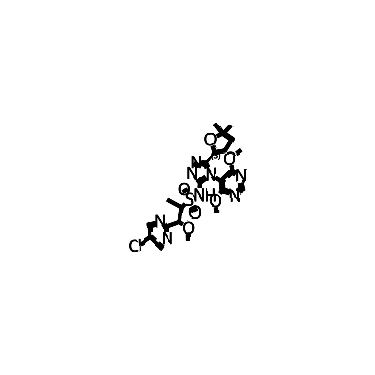 COc1ncnc(OC)c1-n1c(NS(=O)(=O)C(C)C(OC)c2ncc(Cl)cn2)nnc1[C@@H]1CCC(C)(C)O1